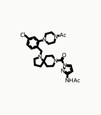 CC(=O)Nc1ccn(C(=O)N2CCC3(CCCN3Cc3ccc(Cl)cc3N3CCN(C(C)=O)CC3)CC2)n1